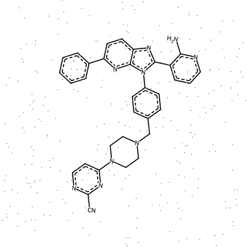 N#Cc1nccc(N2CCN(Cc3ccc(-n4c(-c5cccnc5N)nc5ccc(-c6ccccc6)nc54)cc3)CC2)n1